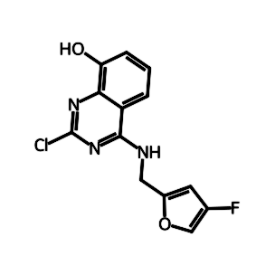 Oc1cccc2c(NCc3cc(F)co3)nc(Cl)nc12